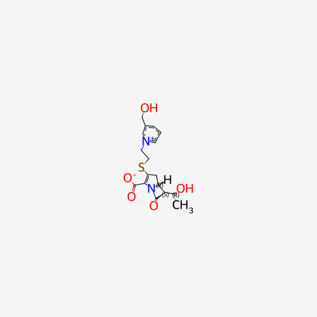 C[C@@H](O)[C@H]1C(=O)N2C(C(=O)[O-])=C(SCC[n+]3cccc(CO)c3)C[C@H]12